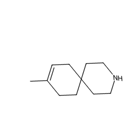 CC1=CCC2(CCNCC2)CC1